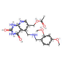 COc1ccc(CNCc2c(COC(C)=O)cnc3[nH]c(=O)[nH]c(=O)c23)c(OC)c1